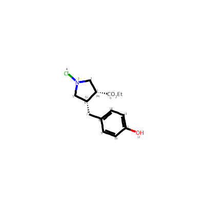 CCOC(=O)[C@H]1CN(Cl)C[C@H]1Cc1ccc(O)cc1